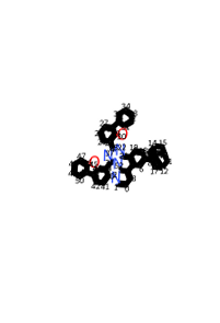 c1cncc(-c2cc(C34CC5CC(CC(C5)C3)C4)ccc2-c2nc(-c3cccc4c3oc3ccccc34)nc(-c3cccc4c3oc3ccccc34)n2)c1